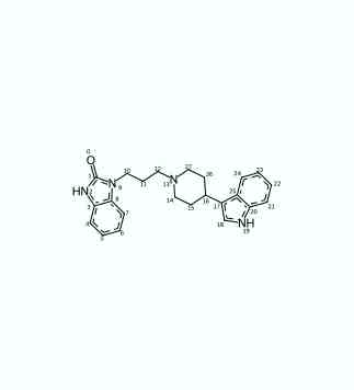 O=c1[nH]c2ccccc2n1CCCN1CCC(c2c[nH]c3ccccc23)CC1